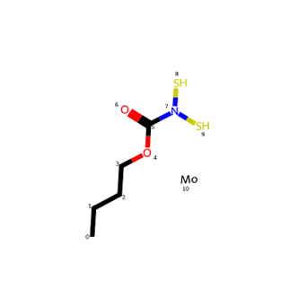 CCCCOC(=O)N(S)S.[Mo]